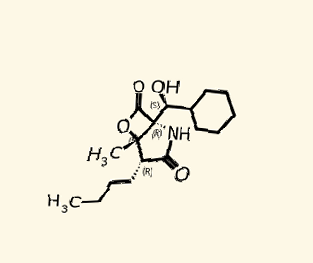 CCCC[C@H]1C(=O)N[C@@]2([C@@H](O)C3CCCCC3)C(=O)O[C@@]12C